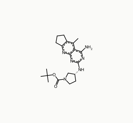 Cc1c2c(nc3nc(N[C@@H]4CCN(C(=O)OC(C)(C)C)C4)nc(N)c13)CCC2